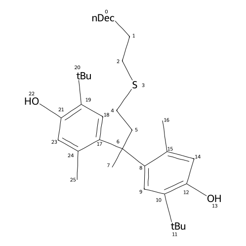 CCCCCCCCCCCCSCCC(C)(c1cc(C(C)(C)C)c(O)cc1C)c1cc(C(C)(C)C)c(O)cc1C